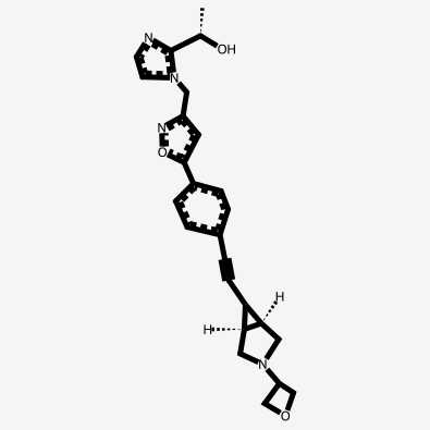 C[C@H](O)c1nccn1Cc1cc(-c2ccc(C#CC3[C@H]4CN(C5COC5)C[C@@H]34)cc2)on1